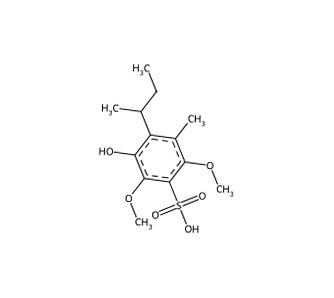 CCC(C)c1c(C)c(OC)c(S(=O)(=O)O)c(OC)c1O